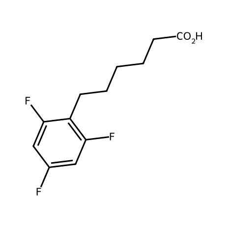 O=C(O)CCCCCc1c(F)cc(F)cc1F